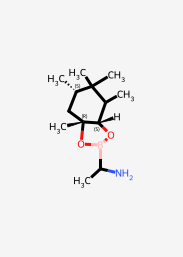 CC(N)B1O[C@H]2C(C)C(C)(C)[C@@H](C)C[C@@]2(C)O1